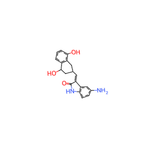 Nc1ccc2c(c1)C(=CC1Cc3c(O)cccc3C(O)C1)C(=O)N2